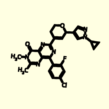 Cc1nc2c(-c3ccc(Cl)cc3F)nc(C3=CC(c4cnn(C5CC5)c4)OCC3)nc2c(=O)n1C